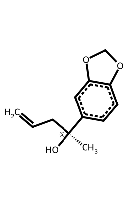 C=CC[C@](C)(O)c1ccc2c(c1)OCO2